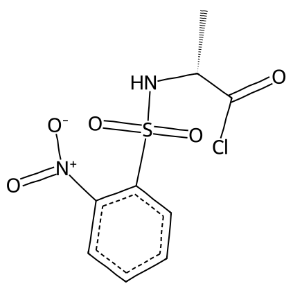 C[C@@H](NS(=O)(=O)c1ccccc1[N+](=O)[O-])C(=O)Cl